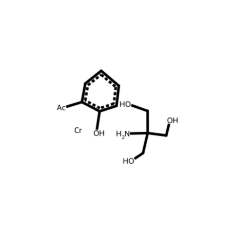 CC(=O)c1ccccc1O.NC(CO)(CO)CO.[Cr]